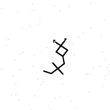 CCC(C)(C)CC1CC(F)(F)C1